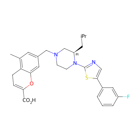 Cc1cc(CN2CCN(c3ncc(-c4cccc(F)c4)s3)[C@H](CC(C)C)C2)cc2c1CC=C(C(=O)O)O2